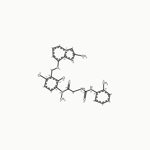 Cc1cn2cccc(OCc3c(Cl)ccc(N(C)C(=O)CNC(=O)Nc4ccccc4C)c3Cl)c2n1